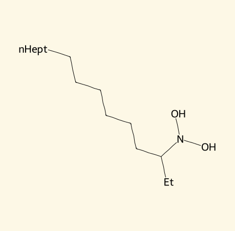 CCCCCCCCCCCCCC(CC)N(O)O